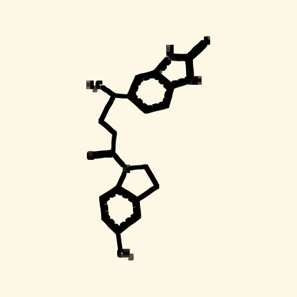 Cc1ccc2c(c1)CCN2C(=O)CCC(C)c1ccc2[nH]c(=S)[nH]c2c1